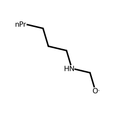 CCCCCCNC[O]